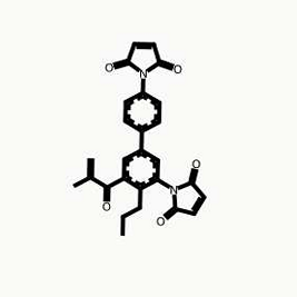 C=C(C)C(=O)c1cc(-c2ccc(N3C(=O)C=CC3=O)cc2)cc(N2C(=O)C=CC2=O)c1CCC